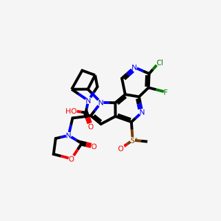 C[S+]([O-])c1nc2c(F)c(Cl)ncc2c2c1cc(CN1CCOC1=O)n2C1C2CC1N(C(=O)O)C2